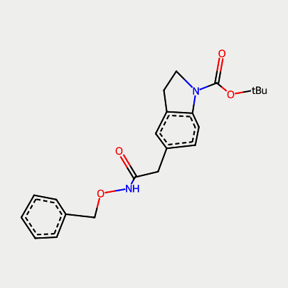 CC(C)(C)OC(=O)N1CCc2cc(CC(=O)NOCc3ccccc3)ccc21